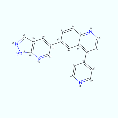 c1cc(-c2ccnc3ccc(-c4cnc5[nH]ncc5c4)cc23)ccn1